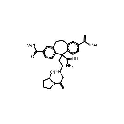 C=C(NC)c1ccc2c(c1)CCc1cc(C(=O)NC)ccc1C2(CCNCC(=C)N1CCCC1C#N)C(=N)N